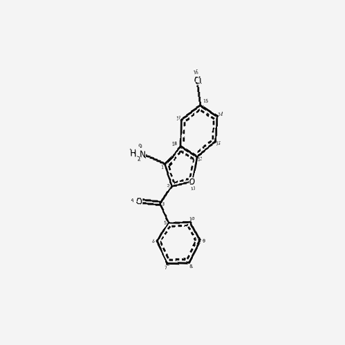 Nc1c(C(=O)c2ccccc2)oc2ccc(Cl)cc12